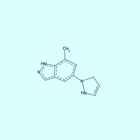 Cc1cc(N2CC=CN2)cc2cn[nH]c12